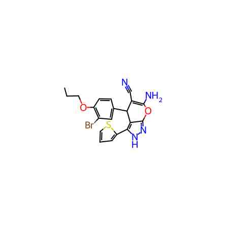 CCCOc1ccc(C2C(C#N)=C(N)Oc3n[nH]c(-c4cccs4)c32)cc1Br